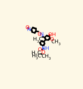 COc1cc(-c2cccc(NC(=O)OC(C)(C)C)c2)c(/C(C)=N/OCc2ccc(N=O)cc2)cc1O